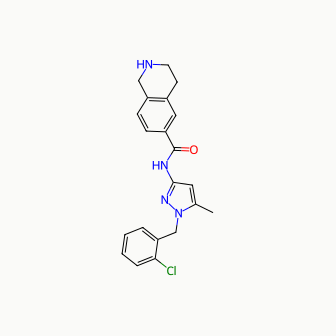 Cc1cc(NC(=O)c2ccc3c(c2)CCNC3)nn1Cc1ccccc1Cl